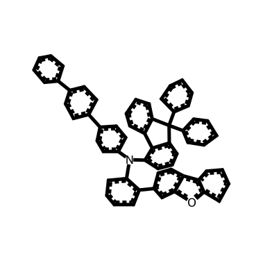 c1ccc(-c2ccc(-c3ccc(N(c4ccccc4-c4ccc5c(c4)oc4ccccc45)c4cccc5c4-c4ccccc4C5(c4ccccc4)c4ccccc4)cc3)cc2)cc1